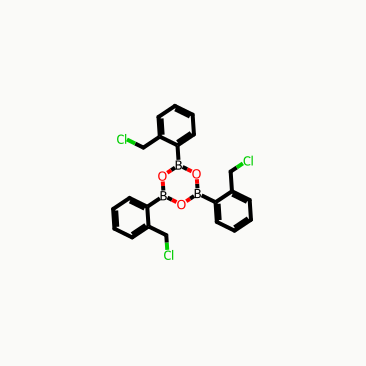 ClCc1ccccc1B1OB(c2ccccc2CCl)OB(c2ccccc2CCl)O1